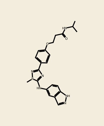 CC(C)NC(=O)CCOc1ccc(-c2nc(Nc3ccc4[nH]ncc4c3)n(C)n2)cc1